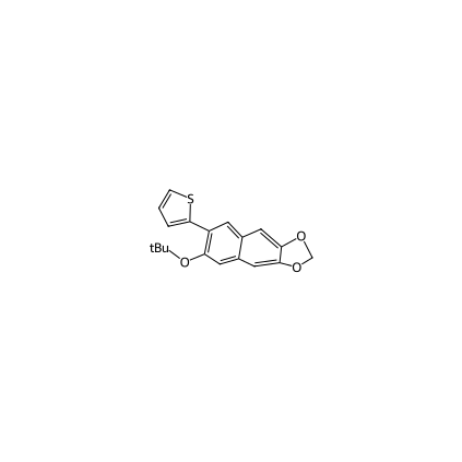 CC(C)(C)Oc1cc2cc3c(cc2cc1-c1cccs1)OCO3